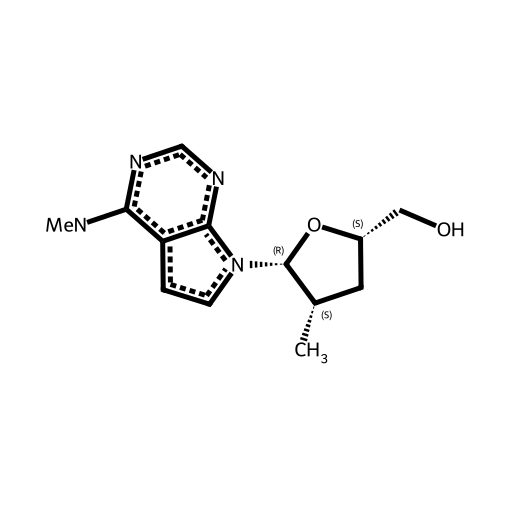 CNc1ncnc2c1ccn2[C@@H]1O[C@H](CO)C[C@@H]1C